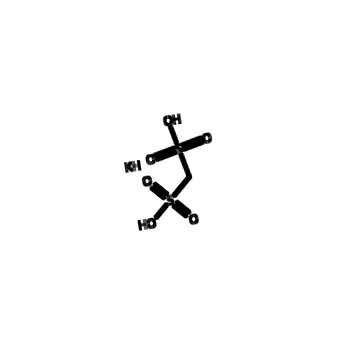 O=S(=O)(O)CS(=O)(=O)O.[KH]